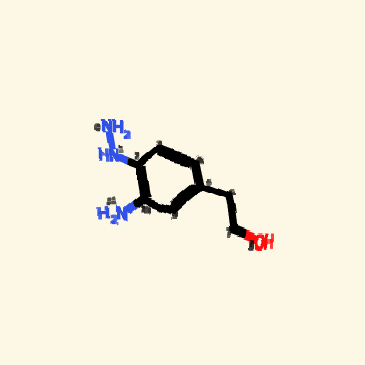 NNc1ccc(CCO)cc1N